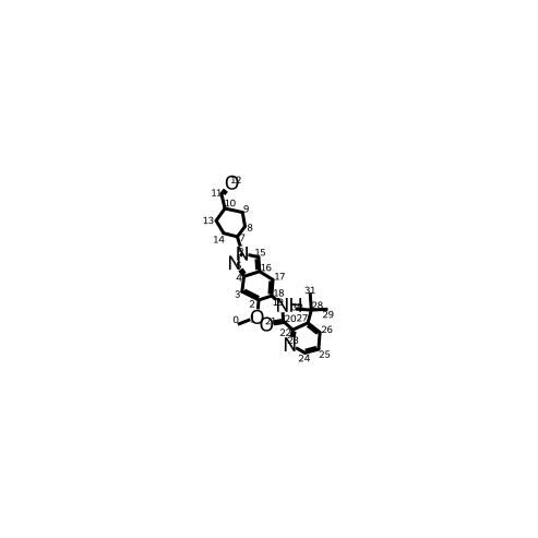 COc1cc2nn(C3CCC(C=O)CC3)cc2cc1NC(=O)c1ncccc1C(C)(C)C